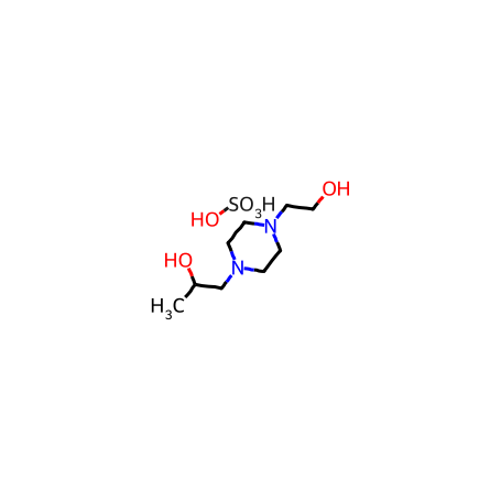 CC(O)CN1CCN(CCO)CC1.O=S(=O)(O)O